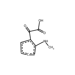 CNc1ccccc1C(=O)C(=O)O